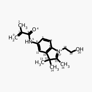 C=C(C)C(=O)Nc1ccc2c(c1)C(C)(C)C(C)=[N+]2CCO